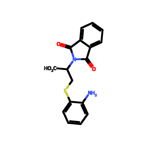 Nc1ccccc1SCC(C(=O)O)N1C(=O)c2ccccc2C1=O